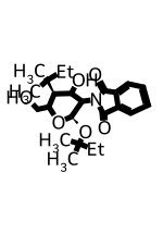 CCC(C)(C)O[C@@H]1OC(CO)[C@@H](C(C)(C)CC)C(O)C1N1C(=O)c2ccccc2C1=O